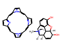 C1=Cc2cc3ccc(cc4nc(cc5ccc(cc1n2)[nH]5)C=C4)[nH]3.CN1CC[C@]23c4c5ccc(O)c4O[C@H]2[C@@H](O)C=C[C@H]3[C@H]1C5